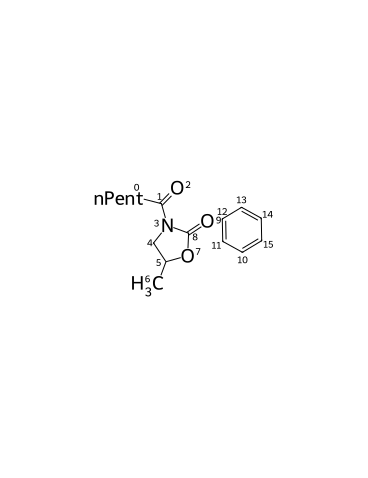 CCCCCC(=O)N1CC(C)OC1=O.c1ccccc1